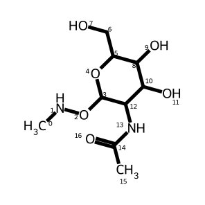 CNOC1OC(CO)C(O)C(O)C1NC(C)=O